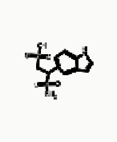 NS(=O)(=O)C(CS(=O)(=O)O)c1ccc2[nH]ccc2c1